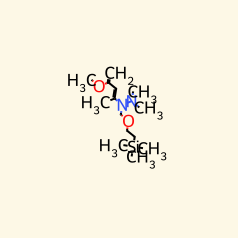 C=C(/C=C(\C)N(COCC[Si](C)(C)C)N(C)C)OC